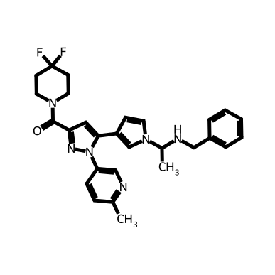 Cc1ccc(-n2nc(C(=O)N3CCC(F)(F)CC3)cc2-c2ccn(C(C)NCc3ccccc3)c2)cn1